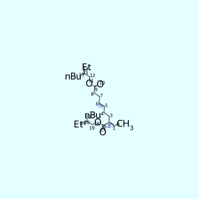 C/C=C(\CC/C=C/CCC(=O)OCC(CC)CCCC)C(=O)OCC(CC)CCCC